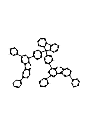 C1=CCCC(c2ccc3sc4c(-c5ccc(C6(c7ccc(-c8cc(-c9ccccc9)cc9c8sc8ccc(-c%10ccccc%10)cc89)cc7)c7ccccc7-c7ccccc76)cc5)cc(-c5ccccc5)cc4c3c2)=C1